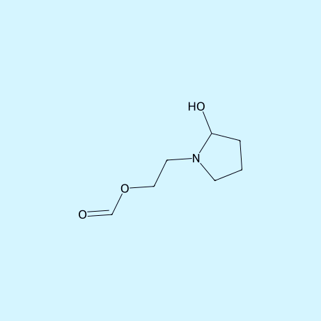 O=COCCN1CCCC1O